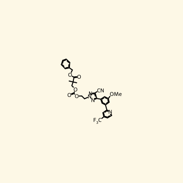 COc1cc(-c2cc(C(F)(F)F)ccn2)cc(-c2nn(CCOC(=O)OCC(C)(C)C(=O)OCc3ccccc3)nc2C#N)c1